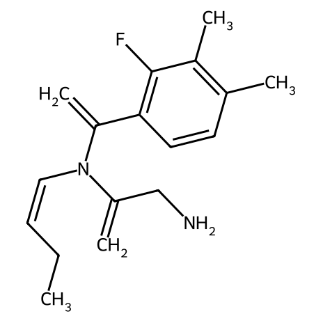 C=C(CN)N(/C=C\CC)C(=C)c1ccc(C)c(C)c1F